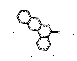 O=c1oc2nc3ccccc3cc2c2ccccc12